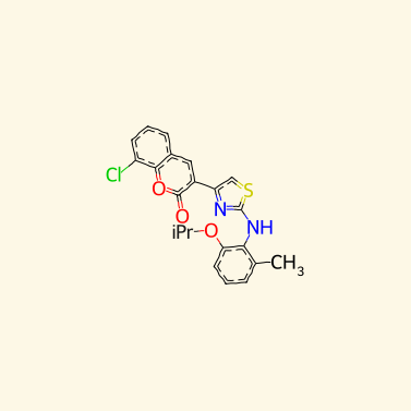 Cc1cccc(OC(C)C)c1Nc1nc(-c2cc3cccc(Cl)c3oc2=O)cs1